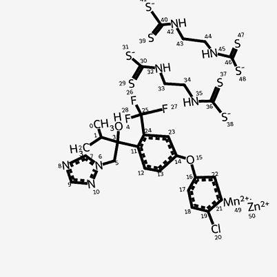 CC(C)C(O)(Cn1cncn1)c1ccc(Oc2ccc(Cl)cc2)cc1C(F)(F)F.S=C([S-])NCCNC(=S)[S-].S=C([S-])NCCNC(=S)[S-].[Mn+2].[Zn+2]